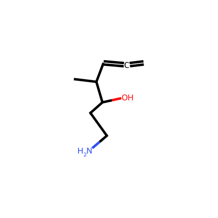 C=C=CC(C)C(O)CCN